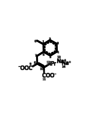 Cc1ccccc1CC(C(=O)[O-])=C(C(=O)[O-])C(C)C.[Na+].[Na+]